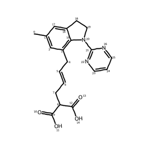 Cc1cc(C/C=C/CC(C(=O)O)C(=O)O)c2c(c1)CCN2c1ncccn1